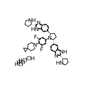 Cl.Cl.Cl.Cl.Fc1cc(N2[C@@H](c3ccc4nc([C@@H]5CCCN5)[nH]c4c3)CC[C@@H]2c2ccc3nc([C@@H]4CCCN4)[nH]c3c2)cc(F)c1N1CCC2(CC1)CC2